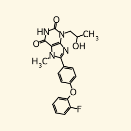 CC(O)Cn1c(=O)[nH]c(=O)c2c1nc(-c1ccc(Oc3ccccc3F)cc1)n2C